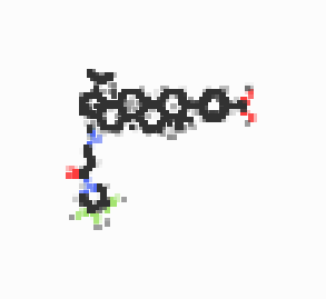 C=C(C)[C@@H]1CC[C@]2(CNCCC(=O)N3CC(F)(F)C(F)(F)C3)CC[C@]3(C)[C@H](CC[C@@H]4[C@@]5(C)CC=C(c6ccc(C(=O)O)cc6)C(C)(C)[C@@H]5CC[C@]43C)[C@@H]12